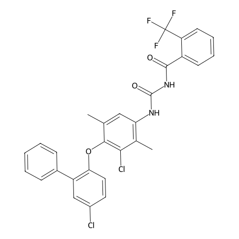 Cc1cc(NC(=O)NC(=O)c2ccccc2C(F)(F)F)c(C)c(Cl)c1Oc1ccc(Cl)cc1-c1ccccc1